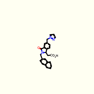 O=C(O)CC1c2ccc(Cn3cccn3)cc2C(=O)N1Cc1ccc2ccccc2c1